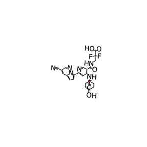 N#Cc1cnn2c(-c3cc(NC45CCC(O)(CC4)CC5)c(C(=O)NCC(F)(F)C(=O)O)cn3)ccc2c1